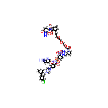 CC1(C)CCC(CN2CCN(c3ccc(C(=O)NS(=O)(=O)c4ccc(NCC5CCCN(C(=O)COCCOCCOCC#Cc6cccc7c6C(=O)N(C6CCC(=O)NC6=O)C7=O)C5)c([N+](=O)[O-])c4)c(Oc4cnc5[nH]ccc5c4)c3)CC2)=C(c2ccc(Cl)cc2)C1